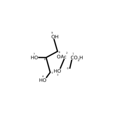 CC(=O)O.CC(=O)OO.OCC(O)CO